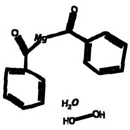 O.O=[C]([Mg][C](=O)c1ccccc1)c1ccccc1.OO